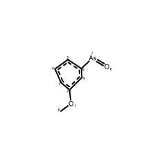 COc1cccc([As]=O)c1